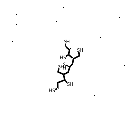 SCCC(S)C(CS)CC(S)CC(CS)C(S)CCS